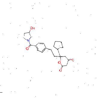 O=C1CC(=O)OC(CCc2ccc(C(=O)N3CCC(O)C3)cc2)(C2CCCC2)C1